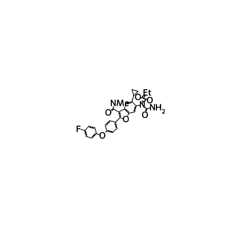 CCS(=O)(=O)N(C(N)=O)c1cc2oc(-c3ccc(Oc4ccc(F)cc4)cc3)c(C(=O)NC)c2cc1C1CC1